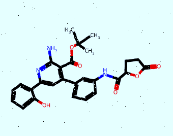 CC(C)(C)OC(=O)c1c(-c2cccc(NC(=O)C3CCC(=O)O3)c2)cc(-c2ccccc2O)nc1N